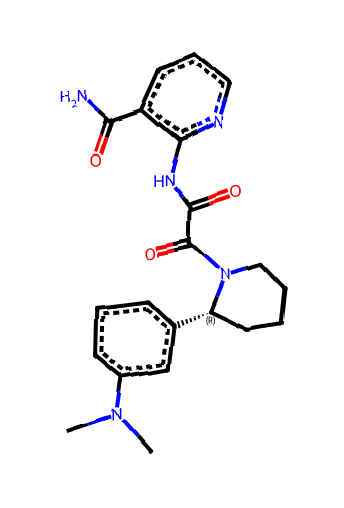 CN(C)c1cccc([C@H]2CCCCN2C(=O)C(=O)Nc2ncccc2C(N)=O)c1